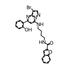 O=C(NCCCCNc1cc(-c2ccccc2O)nc2c(Br)cnn12)c1cc2ccccc2o1